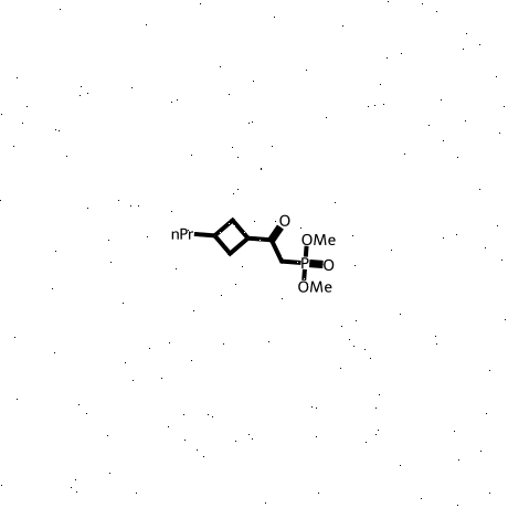 CCCC1CC(C(=O)CP(=O)(OC)OC)C1